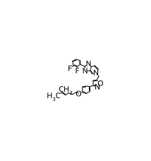 CC(C)=CCCCOc1ccc(-c2cc(Cn3ccc4nc(-c5cccc(F)c5F)nc-4c3)on2)cc1